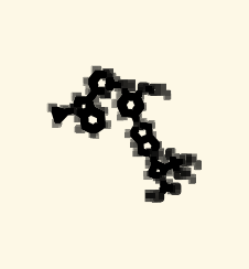 COc1cc(N2CC3CN(C4CN(C(=O)O)C4C(C)(C)C)CC3C2)ccc1Nc1nccc(-c2cn(C3CC3)c3ccccc23)n1